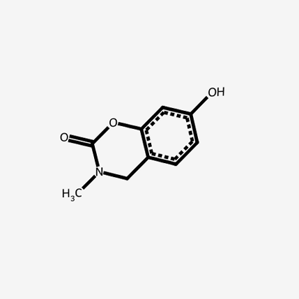 CN1Cc2ccc(O)cc2OC1=O